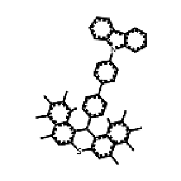 Cc1c(C)c(C)c2c3c(cc(C)c2c1C)Sc1cc(C)c2c(C)c(C)c(C)c(C)c2c1C3c1ccc(-c2ccc(-n3c4ccccc4c4ccccc43)cc2)cc1